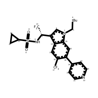 CC(C)(C)Cn1cc([C@H](NS(=O)(=O)C2CC2)C(F)(F)F)c2cc(C(F)(F)F)c(-c3ccncc3)cc21